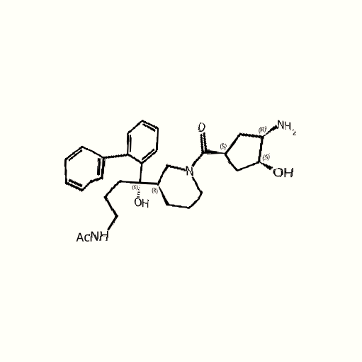 CC(=O)NCCC[C@@](O)(c1ccccc1-c1ccccc1)[C@@H]1CCCN(C(=O)[C@H]2C[C@@H](N)[C@@H](O)C2)C1